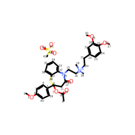 COc1ccc(C2(OC(C)=O)CC(=O)N(CC[N+](C)(C)CCc3ccc(OC)c(OC)c3)c3ccccc3S2)cc1.CS(=O)(=O)[O-]